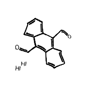 I.I.O=Cc1c2ccccc2c(C=O)c2ccccc12